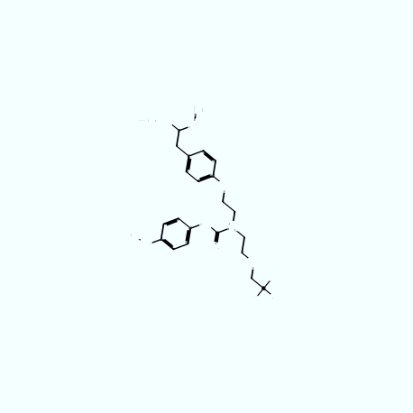 CCOC(Cc1ccc(OCCN(CCOCC(C)(F)F)C(=O)Oc2ccc(OC(F)(F)F)cc2)cc1)C(=O)O